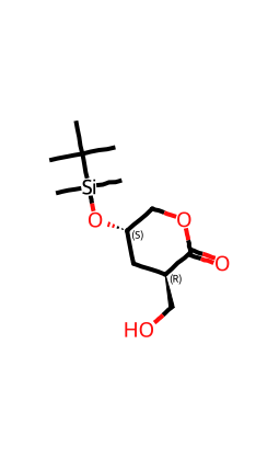 CC(C)(C)[Si](C)(C)O[C@@H]1COC(=O)[C@@H](CO)C1